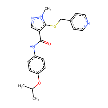 CC(C)Oc1ccc(NC(=O)c2cnn(C)c2SCc2ccncc2)cc1